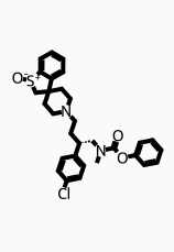 CN(C[C@@H](CCN1CCC2(CC1)C[S+]([O-])c1ccccc12)c1ccc(Cl)cc1)C(=O)Oc1ccccc1